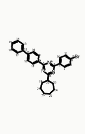 Brc1ccc(-c2nc(-c3ccc(-c4ccccc4)cc3)nc(C3CCCCCC3)n2)cc1